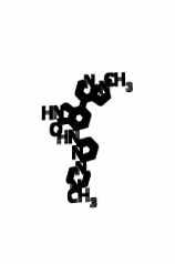 CN1CCN(c2cccc(Nc3ccc(-c4ccnc5c4ccn5C)c4c3C(=O)NC4)n2)CC1